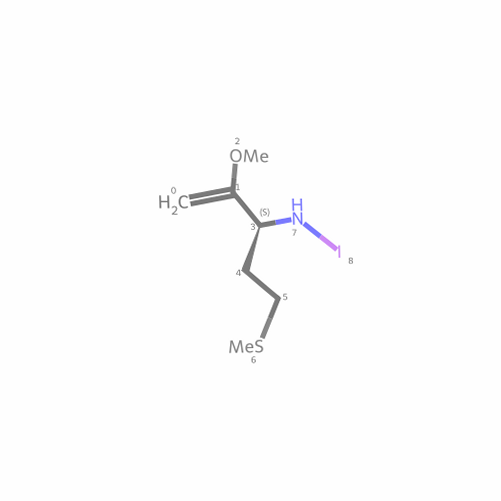 C=C(OC)[C@H](CCSC)NI